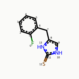 Fc1ccccc1Cc1c[nH]c(=S)[nH]1